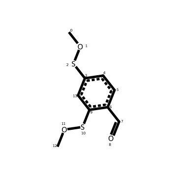 COSc1ccc(C=O)c(SOC)c1